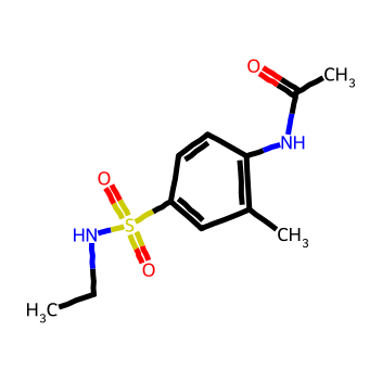 CCNS(=O)(=O)c1ccc(NC(C)=O)c(C)c1